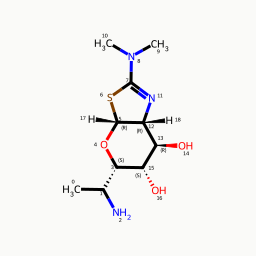 CC(N)[C@@H]1O[C@@H]2SC(N(C)C)=N[C@@H]2[C@@H](O)[C@@H]1O